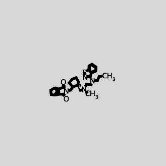 CCCN(CCN(C)C[C@@H]1CCCCC1CN1C(=O)C2C3CCC(C3)C2C1=O)c1nsc2ccccc12